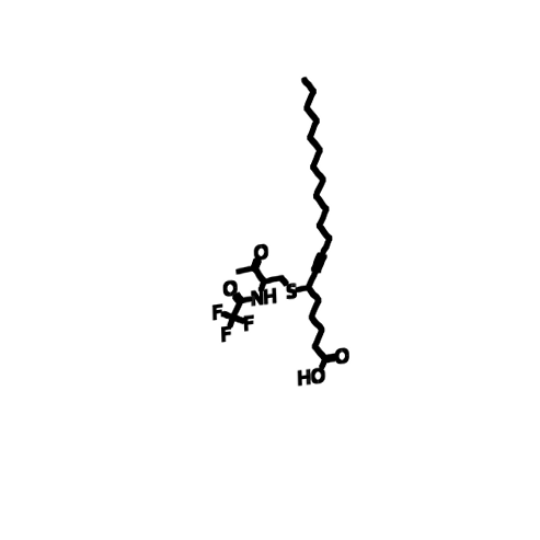 CCCCCCCCCCCCC#CC(CCCCC(=O)O)SCC(NC(=O)C(F)(F)F)C(C)=O